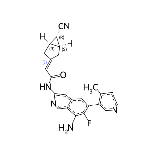 Cc1ccncc1-c1cc2cc(NC(=O)/C=C3\C[C@@H]4[C@@H](C#N)[C@@H]4C3)ncc2c(N)c1F